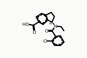 CCN(C(=O)c1ccccc1Cl)[C@@H]1CCc2ccc(C(=O)O)cc21